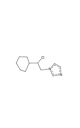 ClC(Cn1ccnc1)C1CCCCC1